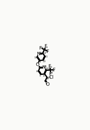 O=C[C@@H](Cl)c1ccc(Oc2ccc(C(F)(F)F)nc2)nc1C(F)(F)F